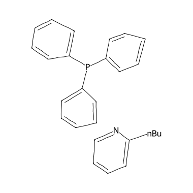 CCCCc1ccccn1.c1ccc(P(c2ccccc2)c2ccccc2)cc1